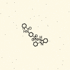 O=C(Nc1ccc(S(=O)(=O)Nc2ccccc2-c2nc3ccccc3[nH]2)cc1)c1ccccn1